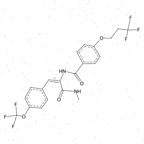 CNC(=O)/C(=C\c1ccc(OC(F)(F)F)cc1)NC(=O)c1ccc(OCCC(F)(F)F)cc1